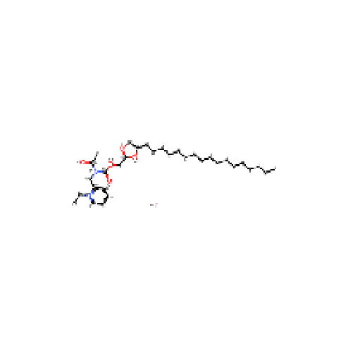 CCCCCCCCCCCCCCCCCC1COC(COC(=O)N(Cc2cccc[n+]2CC)C(C)=O)O1.[I-]